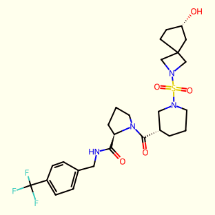 O=C(NCc1ccc(C(F)(F)F)cc1)[C@H]1CCCN1C(=O)[C@H]1CCCN(S(=O)(=O)N2CC3(CC[C@H](O)C3)C2)C1